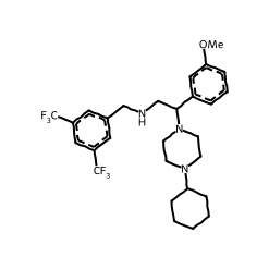 COc1cccc(C(CNCc2cc(C(F)(F)F)cc(C(F)(F)F)c2)N2CCN(C3CCCCC3)CC2)c1